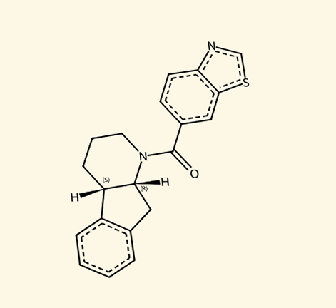 O=C(c1ccc2ncsc2c1)N1CCC[C@H]2c3ccccc3C[C@H]21